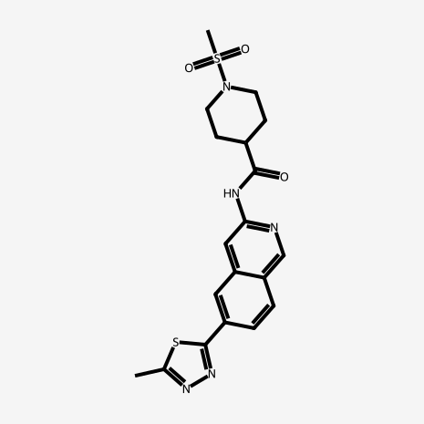 Cc1nnc(-c2ccc3cnc(NC(=O)C4CCN(S(C)(=O)=O)CC4)cc3c2)s1